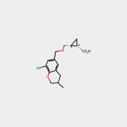 CC1COc2c(Cl)cc(COC[C@@H]3C[C@@H]3C(=O)O)cc2C1